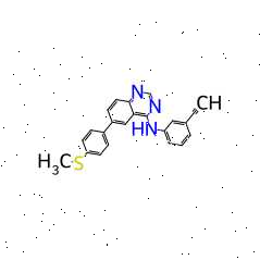 C#Cc1cccc(Nc2ncnc3ccc(-c4ccc(SC)cc4)cc23)c1